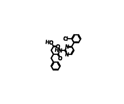 O=C(O)CC(Cc1ccccc1)C(=O)Nc1nccc(-c2ccccc2Cl)n1